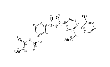 CCc1ccccc1-c1ccc(-c2nc(-c3cccc(CN(C)CC(=O)OC(C)(C)C)c3)no2)cc1COC